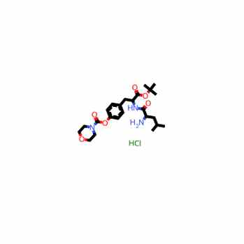 CC(C)CC(N)C(=O)NC(Cc1ccc(OC(=O)N2CCOCC2)cc1)C(=O)OC(C)(C)C.Cl